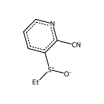 CC[S+]([O-])c1cccnc1C#N